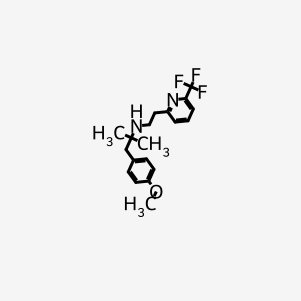 COc1ccc(CC(C)(C)NCCc2cccc(C(F)(F)F)n2)cc1